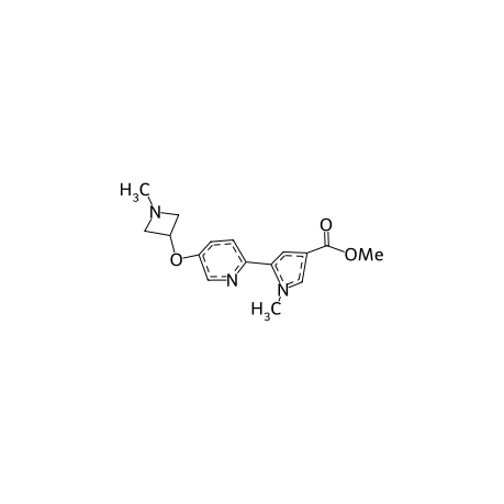 COC(=O)c1cc(-c2ccc(OC3CN(C)C3)cn2)n(C)c1